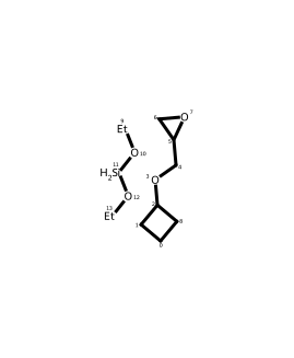 C1CC(OCC2CO2)C1.CCO[SiH2]OCC